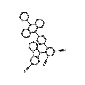 N#Cc1cc(C#N)c(-n2c3ccccc3c3cc(C#N)ccc32)c(-c2ccc(-c3c4ccccc4c(-c4ccccc4)c4ccccc34)cc2)c1